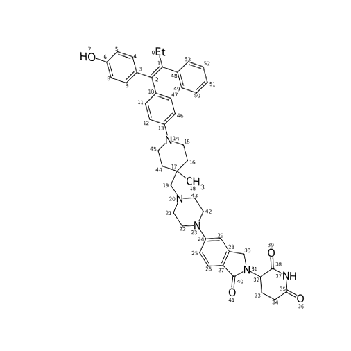 CCC(=C(c1ccc(O)cc1)c1ccc(N2CCC(C)(CN3CCN(c4ccc5c(c4)CN(C4CCC(=O)NC4=O)C5=O)CC3)CC2)cc1)c1ccccc1